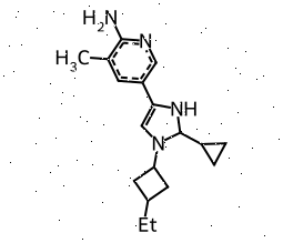 CCC1CC(N2C=C(c3cnc(N)c(C)c3)NC2C2CC2)C1